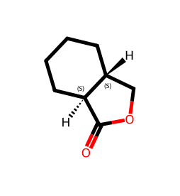 O=C1OC[C@H]2CCCC[C@H]12